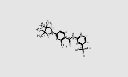 Cc1cc(B2OC(C)(C)C(C)(C)O2)ccc1C(=O)Nc1cc(C(F)(F)F)ccn1